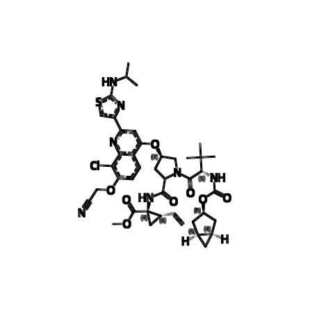 C=C[C@@H]1C[C@]1(NC(=O)C1C[C@@H](Oc2cc(-c3csc(NC(C)C)n3)nc3c(Cl)c(OCC#N)ccc23)CN1C(=O)[C@@H](NC(=O)O[C@@H]1C[C@@H]2C[C@@H]2C1)C(C)(C)C)C(=O)OC